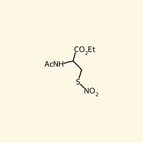 CCOC(=O)C(CS[N+](=O)[O-])NC(C)=O